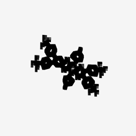 Cc1ccc(N2c3nc(-c4ccc(C(F)(F)F)cc4)c(-c4ccc(C(F)(F)F)cc4)nc3N(c3ccc(C)cc3)c3nc4cc(-c5ccc(C(F)(F)F)cc5)c(-c5ccc(C(F)(F)F)cc5)cc4nc32)cc1